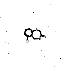 S=C1CSc2cccc(Cl)c2CN1